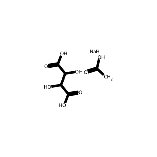 CC(=O)O.O=C(O)C(O)C(O)C(=O)O.[NaH]